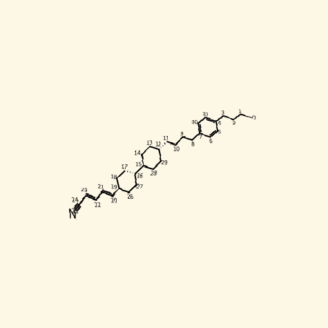 CCCCc1ccc(CCCC[C@H]2CC[C@H]([C@H]3CC[C@H](C=CC=CC#N)CC3)CC2)cc1